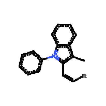 CC/C=C\c1c(C)c2ccccc2n1-c1ccccc1